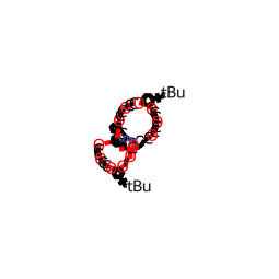 C=C/C=C1\C=C2/CC3CCCC(C)Cc4cccc(c4OCCOCCOc4ccc(C(C)(C)CC(C)(C)C)cc4OCCOCCO2)CC2=CC=CC(C1)C2OCCOCCOC1=C=CC=C(C(C)(C)CC(C)(C)C)C=C1OCCOCCOC3